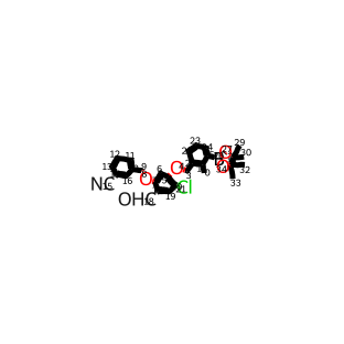 Cc1c(COc2cc(OCc3cccc(C#N)c3)c(C=O)cc2Cl)cccc1B1OC(C)(C)C(C)(C)O1